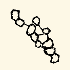 c1ccc(-c2ccc(-c3ccccc3)n2-c2c3ccc(-c4ccc5ccccc5c4)cc3cc3ccc(-c4ccc5ccccc5c4)cc23)cc1